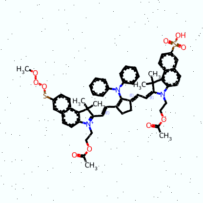 COOOSc1ccc2c3c(ccc2c1)[N+](CCOC(C)=O)=C(/C=C/C1=C(N(c2ccccc2)c2ccccc2)C(=C/C=C2/N(CCOC(C)=O)c4ccc5cc(S(=O)(=O)O)ccc5c4C2(C)C)/CC1)C3(C)C